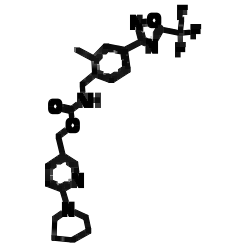 Cc1cc(-c2noc(C(F)(F)F)n2)ccc1CNC(=O)OCc1ccc(N2CCCCC2)nc1